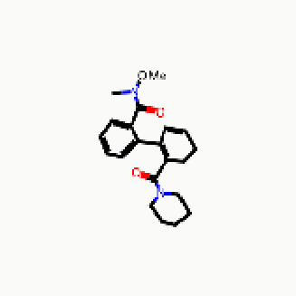 CON(C)C(=O)c1ccccc1C1=C(C(=O)N2CCCCC2)[CH]CC=C1